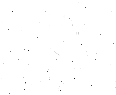 CC(C)(C)[Si](C)(C)OCC(O)[C@@H](N)Cc1ccccc1